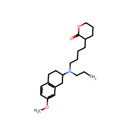 CCCN(CCCCC1CCCOC1=O)C1CCc2ccc(OC)cc2C1